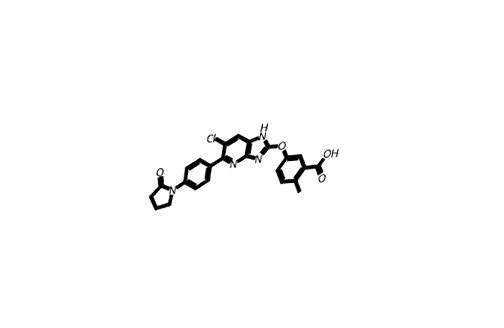 Cc1ccc(Oc2nc3nc(-c4ccc(N5CCCC5=O)cc4)c(Cl)cc3[nH]2)cc1C(=O)O